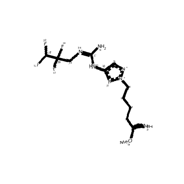 COC(=N)CCCCn1ncc(N/C(N)=N\CC(F)(F)C(F)F)n1